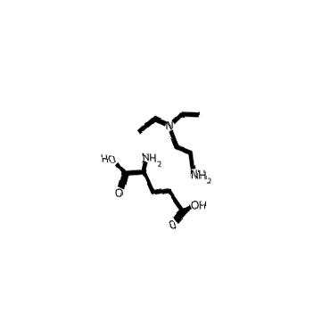 CCN(CC)CCN.NC(CCC(=O)O)C(=O)O